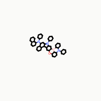 c1ccc(N2c3ccccc3B3c4cc5c(cc4Oc4cccc2c43)c2c3ccccc3c(N(c3ccccc3)c3cccc4ccccc34)cc2n5-c2ccccc2)cc1